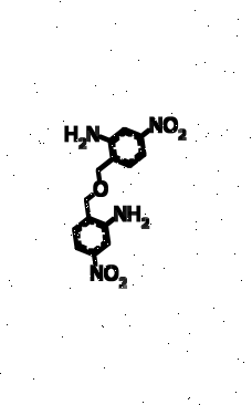 Nc1cc([N+](=O)[O-])ccc1COCc1ccc([N+](=O)[O-])cc1N